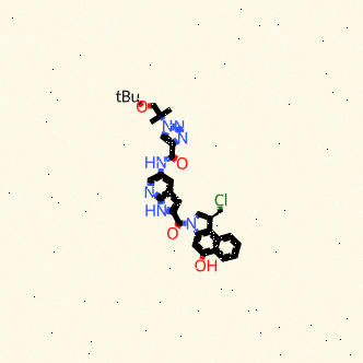 CC(C)(C)OCC(C)(C)n1cc(C(=O)Nc2cnc3[nH]c(C(=O)N4C[C@@H](CCl)c5c4cc(O)c4ccccc54)cc3c2)nn1